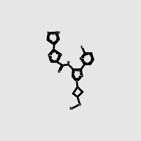 CCOC1CC(n2cc(NC(=O)c3csc(-c4cn[nH]c4)n3)c(-c3cccc(F)n3)n2)C1